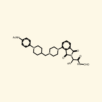 CCCC(C(=O)NC=O)N1C(=O)c2cccc(N3CCN(CC4CCN(c5ccc(NC(C)=O)cc5)CC4)CC3)c2C1=O